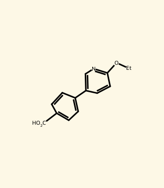 CCOc1ccc(-c2ccc(C(=O)O)cc2)cn1